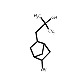 CC(C)(O)CC1CC2CC1CC2O